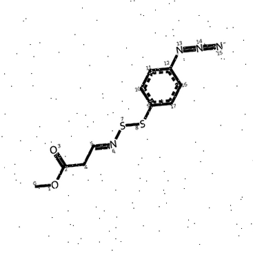 COC(=O)CC=NSSc1ccc(N=[N+]=[N-])cc1